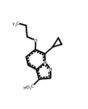 O=C(O)c1cnn2c(C3CC3)c(OCCC(F)(F)F)ccc12